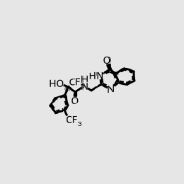 O=C(NCc1nc2ccccc2c(=O)[nH]1)[C@](O)(c1cccc(C(F)(F)F)c1)C(F)(F)F